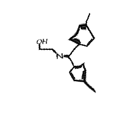 Cc1ccc(C(=NCCO)c2ccc(C)cc2)cc1